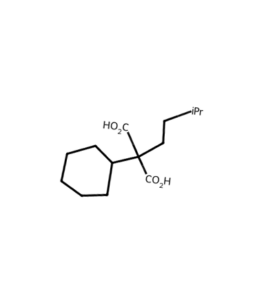 CC(C)CCC(C(=O)O)(C(=O)O)C1CCCCC1